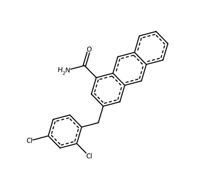 NC(=O)c1cc(Cc2ccc(Cl)cc2Cl)cc2cc3ccccc3cc12